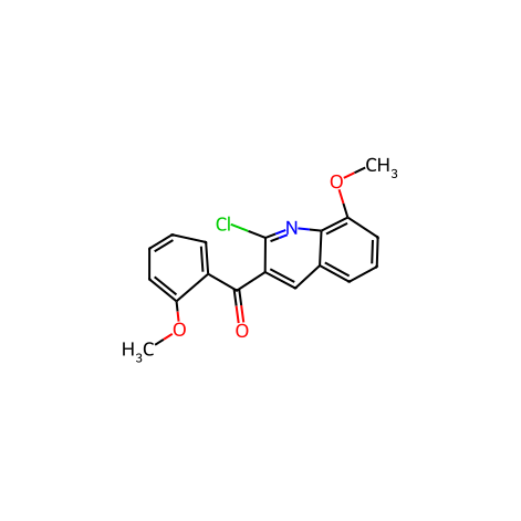 COc1ccccc1C(=O)c1cc2cccc(OC)c2nc1Cl